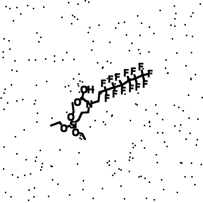 CCO[Si](CCCN(CCC(F)(F)C(F)(F)C(F)(F)C(F)(F)C(F)(F)C(F)(F)F)C(=O)O)(OCC)OCC